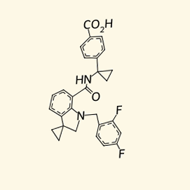 O=C(O)c1ccc(C2(NC(=O)c3cccc4c3N(Cc3ccc(F)cc3F)CC43CC3)CC2)cc1